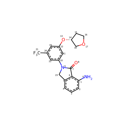 Nc1cccc2c1C(=O)N(c1cc(O[C@@H]3CCOC3)cc(C(F)(F)F)c1)C2